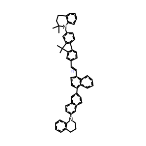 CC1(C)c2cc(/C=C/c3ccc(-c4ccc5cc(N6CCCc7ccccc76)ccc5c4)c4ccccc34)ccc2-c2ccc(N3c4ccccc4CCC3(C)C)cc21